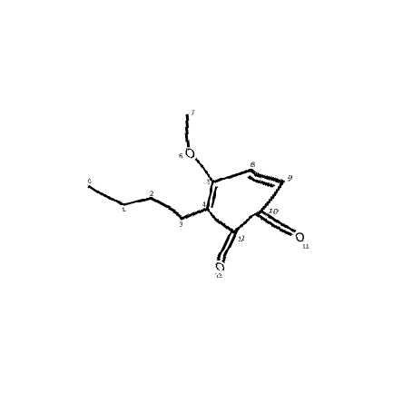 CCCCC1=C(OC)C=CC(=O)C1=O